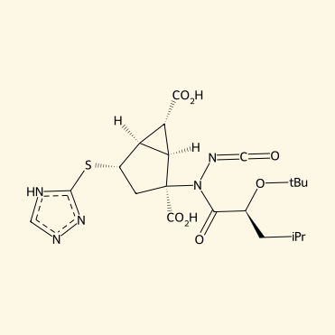 CC(C)C[C@H](OC(C)(C)C)C(=O)N(N=C=O)[C@@]1(C(=O)O)C[C@H](Sc2nnc[nH]2)[C@H]2[C@H](C(=O)O)[C@H]21